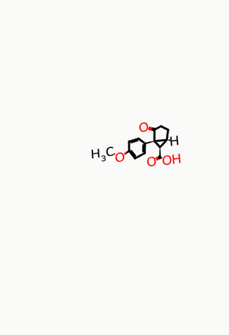 COc1ccc([C@@]23C(=O)CC[C@H]2[C@H]3C(=O)O)cc1